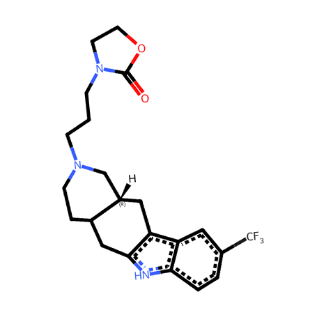 O=C1OCCN1CCCN1CCC2Cc3[nH]c4ccc(C(F)(F)F)cc4c3C[C@H]2C1